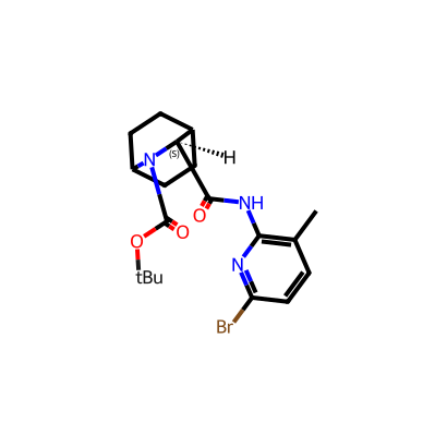 Cc1ccc(Br)nc1NC(=O)[C@@H]1C2CCC(CC2)N1C(=O)OC(C)(C)C